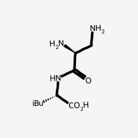 CCC(C)[C@H](NC(=O)[C@@H](N)CN)C(=O)O